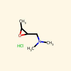 CC1OC1CN(C)C.Cl